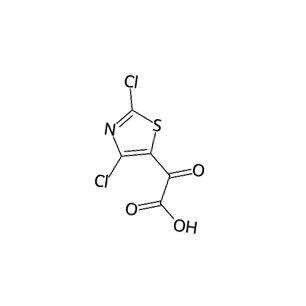 O=C(O)C(=O)c1sc(Cl)nc1Cl